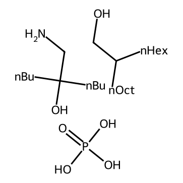 CCCCC(O)(CN)CCCC.CCCCCCCCC(CO)CCCCCC.O=P(O)(O)O